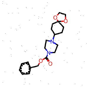 O=C(OCc1ccccc1)N1CCN(C2CCC3(CC2)OCCO3)CC1